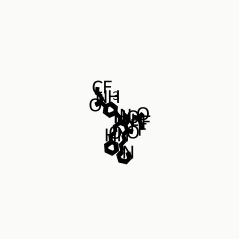 O=C(NCC(F)(F)F)c1ccc(-n2nnc(C(=O)NCCc3ccccn3)c2COCc2ccccc2)cc1.O=C(O)C(F)(F)F